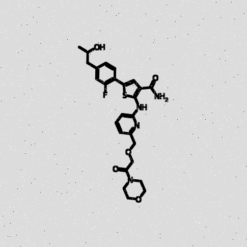 CC(O)Cc1ccc(-c2cc(C(N)=O)c(Nc3cccc(COCC(=O)N4CCOCC4)n3)s2)c(F)c1